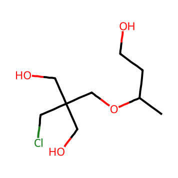 CC(CCO)OCC(CO)(CO)CCl